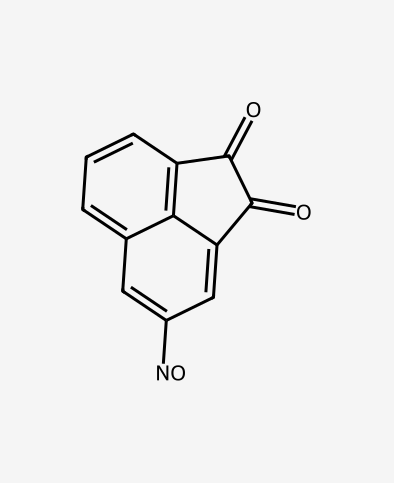 O=Nc1cc2c3c(cccc3c1)C(=O)C2=O